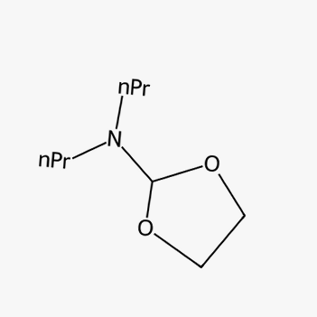 CCCN(CCC)C1OCCO1